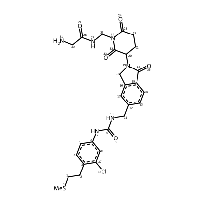 CSCCc1ccc(NC(=O)NCc2ccc3c(c2)CN(C2CCC(=O)N(CNC(=O)CN)C2=O)C3=O)cc1Cl